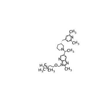 Cc1cc(C[C@H]2CCCN(C(C)c3cnc4c(c3)nc(C)n4COCC[Si](C)(C)C)C2)cc(C)n1